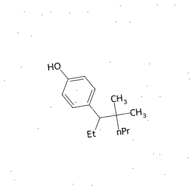 CCCC(C)(C)C(CC)c1ccc(O)cc1